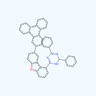 c1ccc(C2=NC(c3ccccc3)NC(c3cccc4oc5ccc(-c6ccc7c8ccccc8c8ccccc8c7c6)cc5c34)=N2)cc1